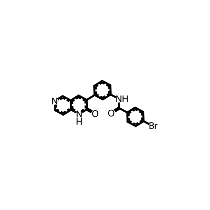 O=C(Nc1cccc(-c2cc3cnccc3[nH]c2=O)c1)c1ccc(Br)cc1